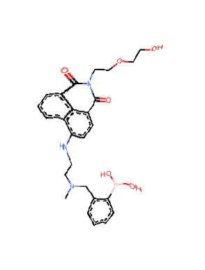 CN(CCNc1ccc2c3c(cccc13)C(=O)N(CCOCCO)C2=O)Cc1ccccc1B(O)O